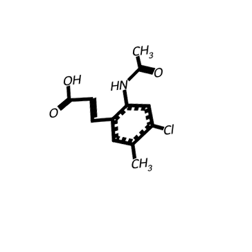 CC(=O)Nc1cc(Cl)c(C)cc1C=CC(=O)O